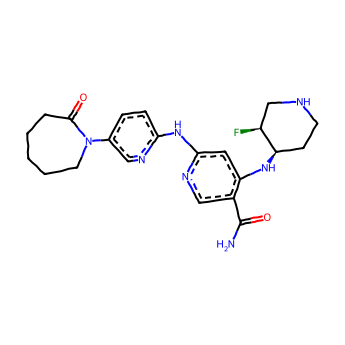 NC(=O)c1cnc(Nc2ccc(N3CCCCCC3=O)cn2)cc1N[C@@H]1CCNC[C@@H]1F